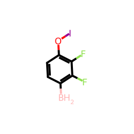 Bc1ccc(OI)c(F)c1F